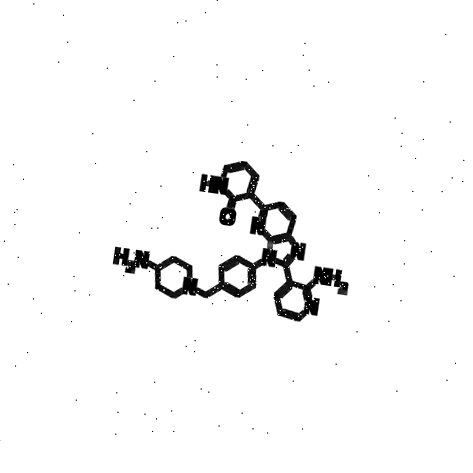 Nc1ncccc1-c1nc2ccc(-c3ccc[nH]c3=O)nc2n1-c1ccc(CN2CCC(N)CC2)cc1